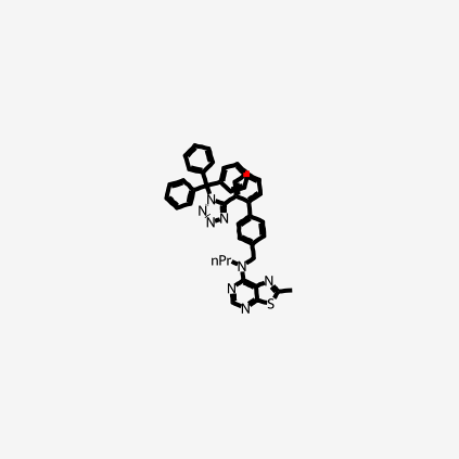 CCCN(Cc1ccc(-c2ccccc2-c2nnnn2C(c2ccccc2)(c2ccccc2)c2ccccc2)cc1)c1ncnc2sc(C)nc12